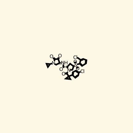 O=C1C(=O)N(C2CC2)C[C@@H]1NC(=O)[C@@H]1C[C@@H](S(=O)(=O)c2ccccc2Cl)CN1C(=O)C1(c2ccc(Cl)cc2)CC1